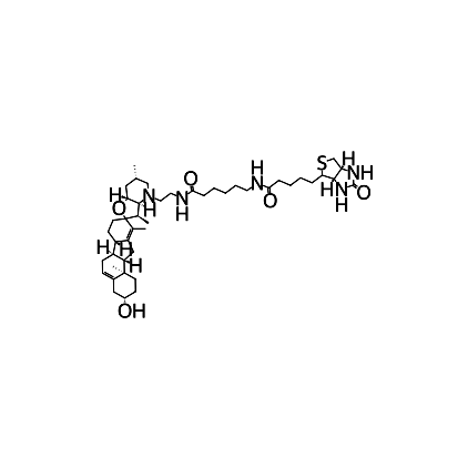 CC1=C2C[C@H]3[C@@H](CC=C4C[C@@H](O)CC[C@@]43C)[C@@H]2CCC12O[C@@H]1C[C@H](C)CN(CCNC(=O)CCCCCNC(=O)CCCCC3SC[C@@H]4NC(=O)N[C@H]34)[C@H]1[C@H]2C